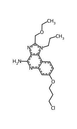 CCCn1c(COCC)nc2c(N)nc3cc(OCCCCl)ccc3c21